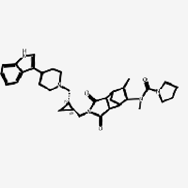 CC1C2CC(C3C(=O)N(C[C@H]4C[C@@H]4CN4CCC(c5c[nH]c6ccccc56)CC4)C(=O)C23)C1N(C)C(=O)N1CCCC1